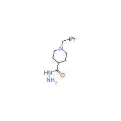 C[C](C)CN1CCC(C(=O)NN)CC1